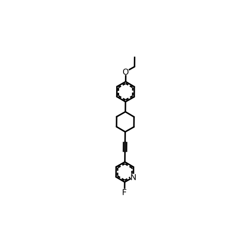 CCOc1ccc(C2CCC(C#Cc3ccc(F)nc3)CC2)cc1